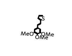 COc1cc(/C=C/c2cccs2)cc(OC)c1OC